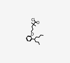 CCCCC(CCC)c1ccccc1OCCCC(C)(C)C(=O)Cl